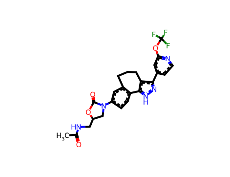 CC(=O)NCC1CN(c2ccc3c(c2)CCCc2c(-c4ccnc(OC(F)(F)F)c4)n[nH]c2-3)C(=O)O1